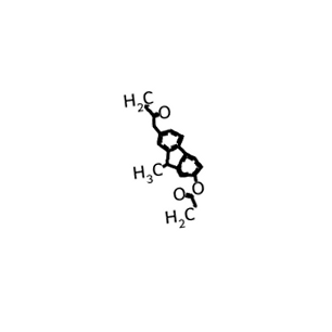 C=CC(=O)Cc1ccc2c(c1)C(C)c1cc(OC(=O)C=C)ccc1-2